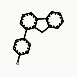 Clc1ccc(-c2cccc3c2Cc2ccccc2-3)cc1